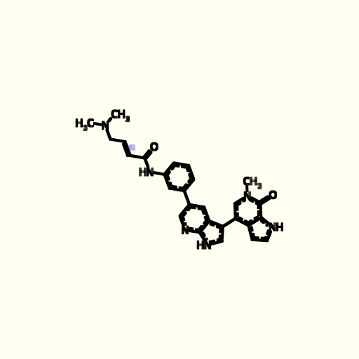 CN(C)C/C=C/C(=O)Nc1cccc(-c2cnc3[nH]cc(-c4cn(C)c(=O)c5[nH]ccc45)c3c2)c1